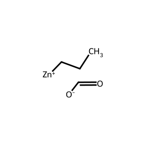 CC[CH2][Zn+].O=C[O-]